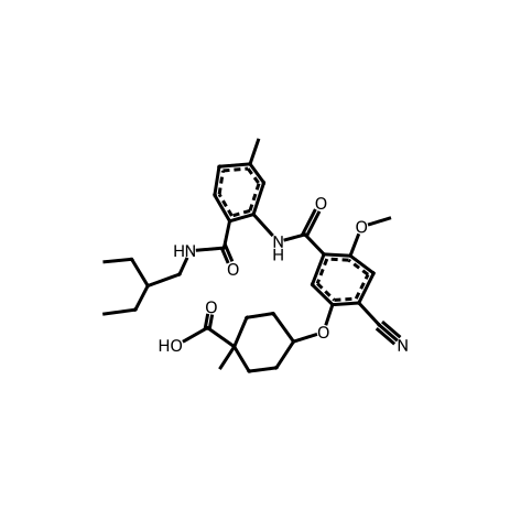 CCC(CC)CNC(=O)c1ccc(C)cc1NC(=O)c1cc(OC2CCC(C)(C(=O)O)CC2)c(C#N)cc1OC